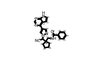 N#CC(n1cc(-c2ncnc3[nH]ccc23)cn1)C1(CNC(=O)c2ccccc2)CCCC1